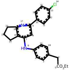 CCOC(=O)Cc1ccc(Nc2cc(-c3ccc(Cl)cc3)nc3c2CCC3)cc1